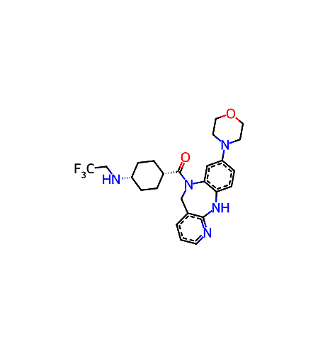 O=C([C@H]1CC[C@@H](NCC(F)(F)F)CC1)N1Cc2cccnc2Nc2ccc(N3CCOCC3)cc21